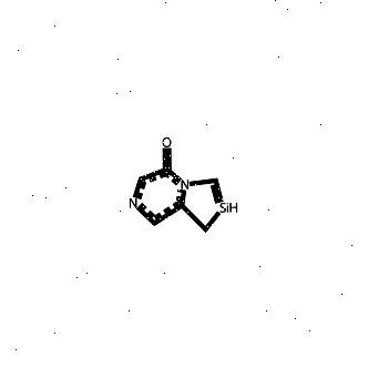 O=c1cncc2n1C=[SiH]C2